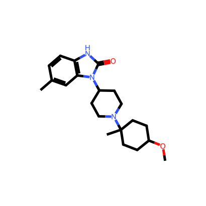 COC1CCC(C)(N2CCC(n3c(=O)[nH]c4ccc(C)cc43)CC2)CC1